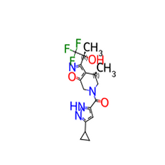 C[C@H]1CN(C(=O)c2cc(C3CC3)n[nH]2)Cc2onc([C@@](C)(O)C(F)(F)F)c21